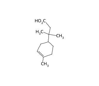 CC1=CCC(C(C)(C)CC(=O)O)CC1